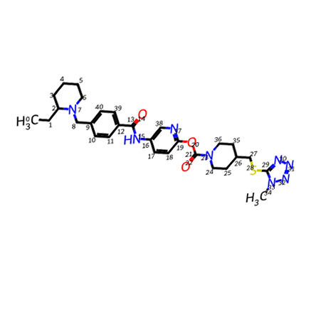 CCC1CCCCN1Cc1ccc(C(=O)Nc2ccc(OC(=O)N3CCC(CSc4nnnn4C)CC3)nc2)cc1